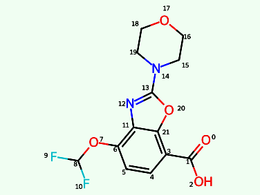 O=C(O)c1ccc(OC(F)F)c2nc(N3CCOCC3)oc12